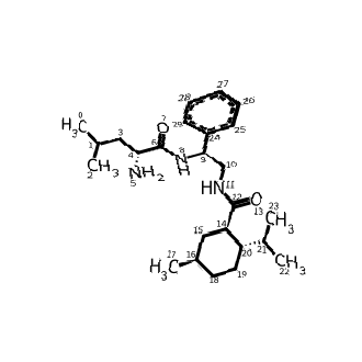 CC(C)C[C@@H](N)C(=O)N[C@H](CNC(=O)[C@@H]1C[C@H](C)CC[C@H]1C(C)C)c1ccccc1